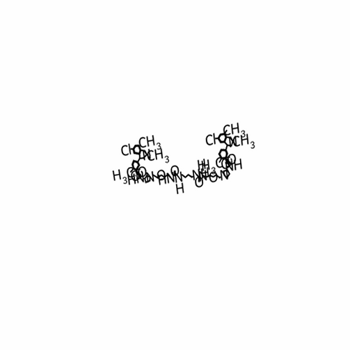 Cc1ccc(C2CN(C)Cc3c(C)cc(Cl)cc32)cc1S(=O)(=O)N[C@@H]1CCN(CCOCCNC(=O)NCCCCNC(=O)NCCOCCN2CC[C@@H](NS(=O)(=O)c3cc(C4CN(C)Cc5c(C)cc(Cl)cc54)ccc3C)C2)C1